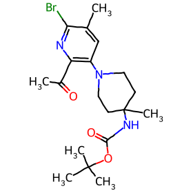 CC(=O)c1nc(Br)c(C)cc1N1CCC(C)(NC(=O)OC(C)(C)C)CC1